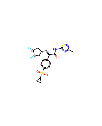 Cc1nsc(NC(=O)/C(=C/[C@H]2C[C@@H](F)[C@@H](F)C2)c2ccc(S(=O)(=O)C3CC3)cc2)n1